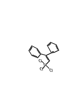 Cl[Si](Cl)(Cl)C=C(c1ccccc1)c1ccccc1